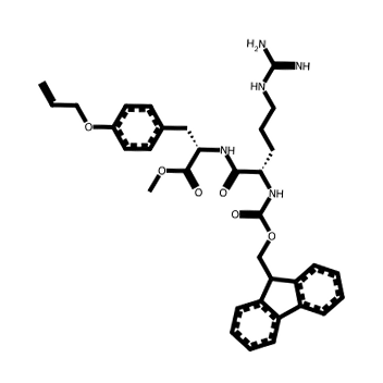 C=CCOc1ccc(C[C@H](NC(=O)[C@H](CCCNC(=N)N)NC(=O)OCC2c3ccccc3-c3ccccc32)C(=O)OC)cc1